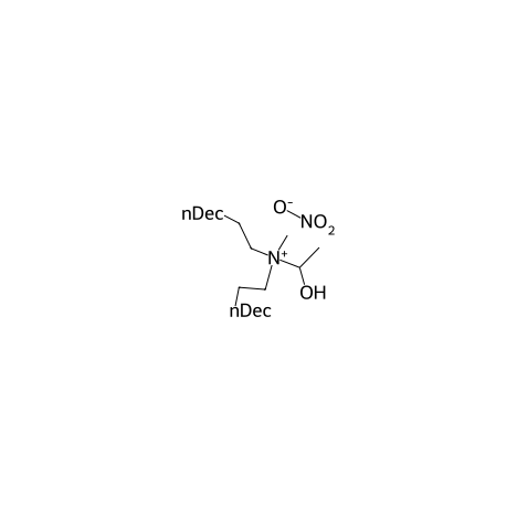 CCCCCCCCCCCC[N+](C)(CCCCCCCCCCCC)C(C)O.O=[N+]([O-])[O-]